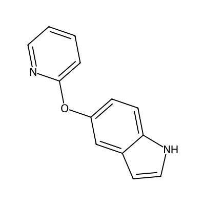 c1ccc(Oc2ccc3[nH]ccc3c2)nc1